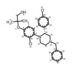 CC(C)(CO)Oc1ccc(N2CCN(Cc3ccccc3)C[C@H]2c2ccc(Cl)cc2)c(Cl)c1